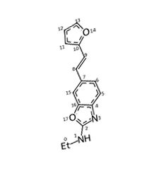 CCNc1nc2ccc(C=Cc3ccco3)cc2o1